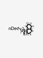 CCCCCCCCCCCC[N+](C)(CC)c1cccc2ccccc12